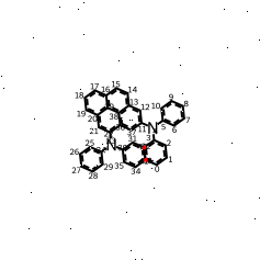 c1ccc(N(c2ccccc2)c2cc3ccc4cccc5cc(N(c6ccccc6)c6ccccc6)c(c2)c3c45)cc1